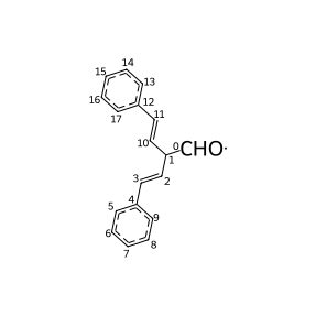 O=[C]C(C=Cc1ccccc1)C=Cc1ccccc1